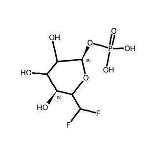 O=P(O)(O)O[C@H]1OC(C(F)F)[C@@H](O)C(O)C1O